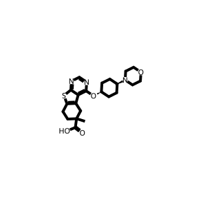 CC1(C(=O)O)CCc2sc3ncnc(O[C@H]4CC[C@H](N5CCOCC5)CC4)c3c2C1